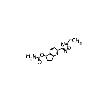 CCc1nc(-c2ccc3c(c2)CCC3OC(N)=O)no1